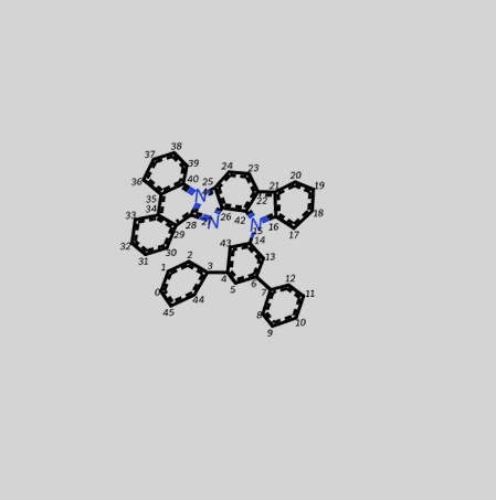 c1ccc(-c2cc(-c3ccccc3)cc(-n3c4ccccc4c4ccc5c(nc6c7ccccc7c7ccccc7n56)c43)c2)cc1